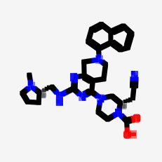 CN1CCC[C@H]1CNc1nc2c(c(N3CCN(C(=O)O)[C@@H](CC#N)C3)n1)CCN(c1cccc3ccccc13)C2